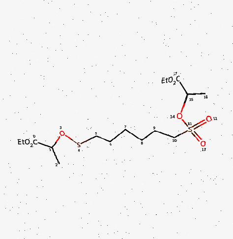 CCOC(=O)C(C)OSCCCCCCS(=O)(=O)OC(C)C(=O)OCC